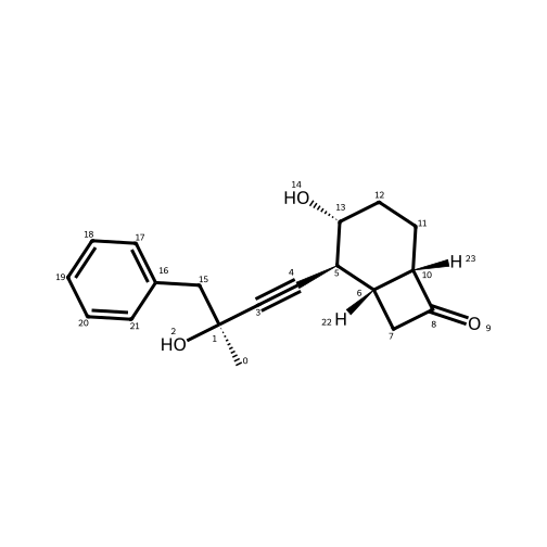 C[C@@](O)(C#C[C@@H]1[C@H]2CC(=O)[C@H]2CC[C@H]1O)Cc1ccccc1